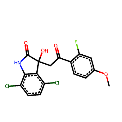 COc1ccc(C(=O)CC2(O)C(=O)Nc3c(Cl)ccc(Cl)c32)c(F)c1